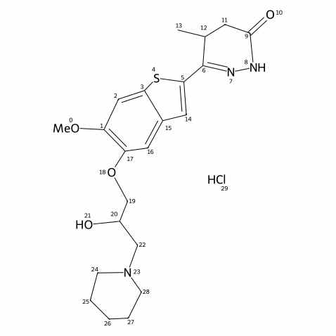 COc1cc2sc(C3=NNC(=O)CC3C)cc2cc1OCC(O)CN1CCCCC1.Cl